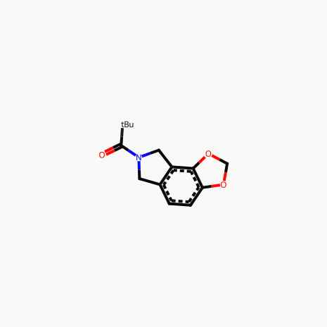 CC(C)(C)C(=O)N1Cc2ccc3c(c2C1)OCO3